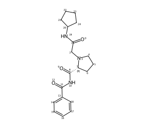 O=C(CN1CCC[C@@H]1C(=O)NC(=O)c1ccccc1)NC1CCCC1